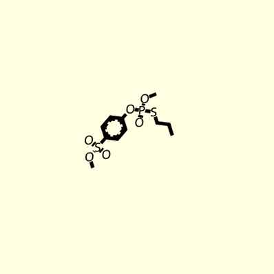 CCCSP(=O)(OC)Oc1ccc(S(=O)(=O)OC)cc1